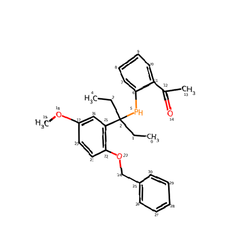 CCC(CC)(Pc1ccccc1C(C)=O)c1cc(OC)ccc1OCc1ccccc1